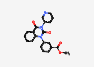 COC(=O)c1cccc(-n2c(=O)n(-c3cccnc3)c(=O)c3ccccc32)c1